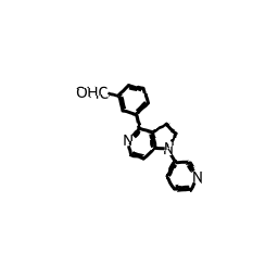 O=Cc1cccc(-c2nccc3c2CCN3c2cccnc2)c1